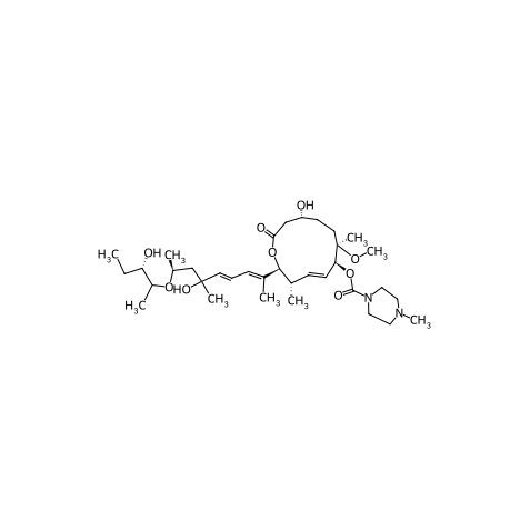 CC[C@H](O)C(C)O[C@@H](C)CC(C)(O)/C=C/C=C(\C)[C@H]1OC(=O)C[C@H](O)CC[C@@](C)(OC)[C@@H](OC(=O)N2CCN(C)CC2)/C=C/[C@@H]1C